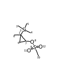 CC1([Si](C)(C)C)CC1OS(C)(=O)=O